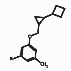 Cc1cc(Br)cc(OCC2CC2C2CCC2)c1